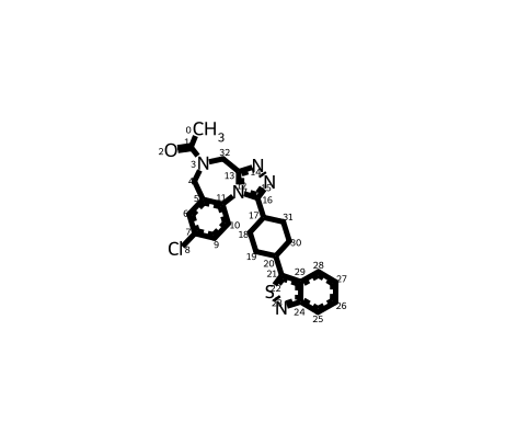 CC(=O)N1Cc2cc(Cl)ccc2-n2c(nnc2C2CCC(c3snc4ccccc34)CC2)C1